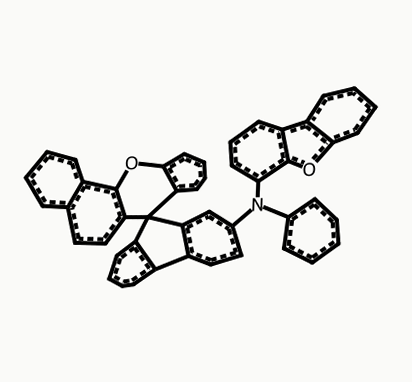 c1ccc(N(c2ccc3c(c2)C2(c4ccccc4Oc4c2ccc2ccccc42)c2ccccc2-3)c2cccc3c2oc2ccccc23)cc1